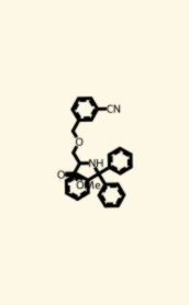 COC(=O)C(COCc1cccc(C#N)c1)NC(c1ccccc1)(c1ccccc1)c1ccccc1